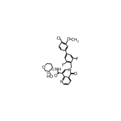 COc1cc(-c2cc(F)c(Cn3cc(C(=O)N[C@H]4CCOC[C@@H]4O)c4ncccc4c3=O)c(F)c2)ccc1Cl